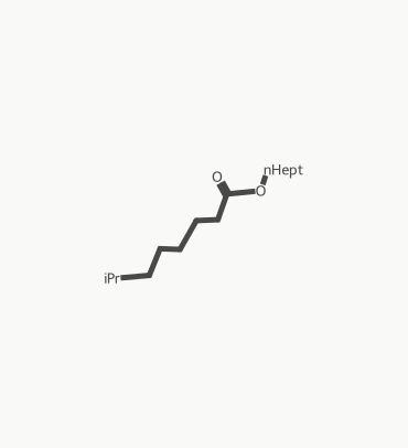 CCCCCCCOC(=O)CCCCCC(C)C